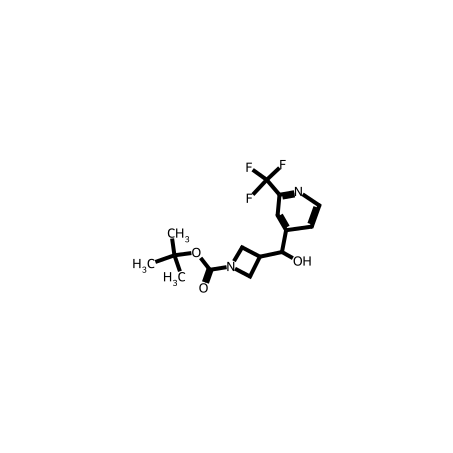 CC(C)(C)OC(=O)N1CC(C(O)c2ccnc(C(F)(F)F)c2)C1